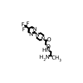 CC(N)CNOCC(=O)N1CCN(c2ncc(C(F)(F)F)cn2)CC1